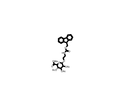 COC(=O)C1O[C@@H](OCCNC(=O)OCC2c3ccccc3-c3ccccc32)C(OC(C)=O)C(OC(C)=O)[C@@H]1OC(C)=O